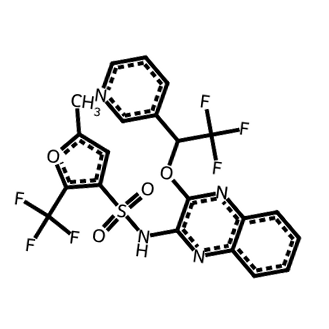 Cc1cc(S(=O)(=O)Nc2nc3ccccc3nc2OC(c2cccnc2)C(F)(F)F)c(C(F)(F)F)o1